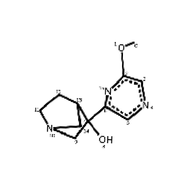 COc1cncc(C2(O)CN3CCC2C3)n1